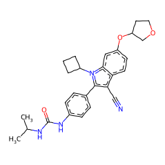 CC(C)NC(=O)Nc1ccc(-c2c(C#N)c3ccc(OC4CCOC4)cc3n2C2CCC2)cc1